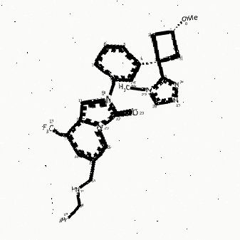 CO[C@H]1C[C@](c2cccc(-n3cc4c(C(F)(F)F)cc(CNCC(C)C)cn4c3=O)c2)(c2nncn2C)C1